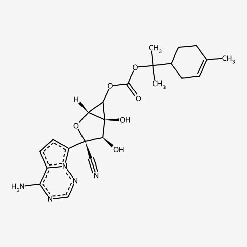 CC1=CCC(C(C)(C)OC(=O)OC2[C@H]3O[C@@](C#N)(c4ccc5c(N)ncnn45)[C@H](O)[C@@]23O)CC1